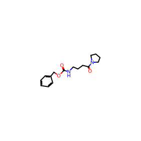 O=C(NCCCC(=O)N1CCCC1)OCc1ccccc1